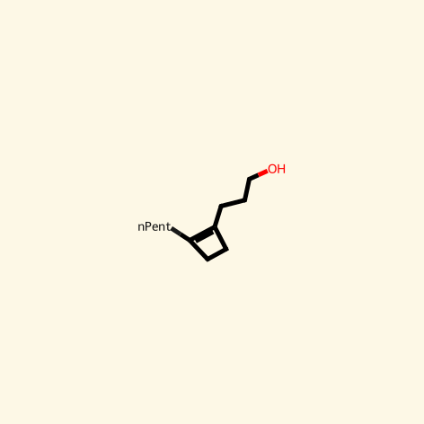 CCCCCC1=C(CCCO)CC1